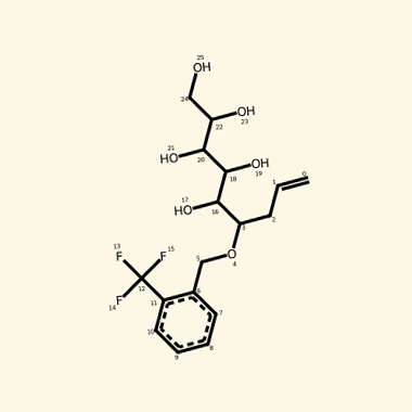 C=CCC(OCc1ccccc1C(F)(F)F)C(O)C(O)C(O)C(O)CO